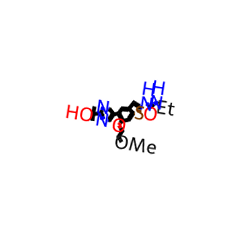 CCNC(=O)Nc1cc2cc(-c3cnc(C(C)(C)O)nc3)c(OCCOC)cc2s1